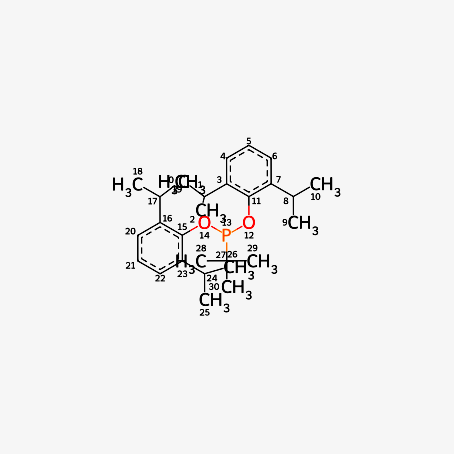 CC(C)c1cccc(C(C)C)c1OP(Oc1c(C(C)C)cccc1C(C)C)C(C)(C)C